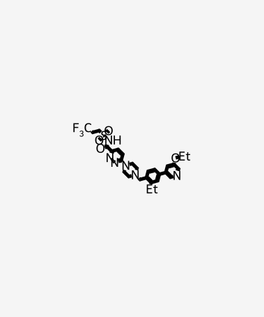 CCOc1cncc(-c2ccc(CN3CCN(c4ccc(C(=O)NS(=O)(=O)CCC(F)(F)F)nn4)CC3)c(CC)c2)c1